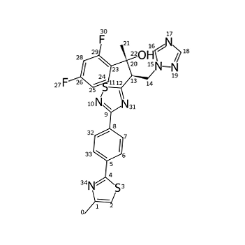 Cc1csc(-c2ccc(-c3nsc([C@H](Cn4cncn4)[C@@](C)(O)c4ccc(F)cc4F)n3)cc2)n1